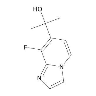 CC(C)(O)c1ccn2ccnc2c1F